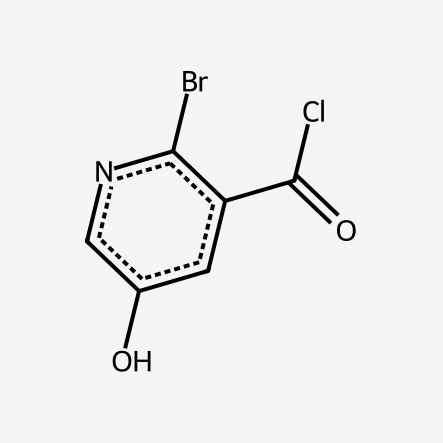 O=C(Cl)c1cc(O)cnc1Br